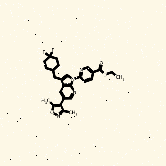 CCOC(=O)c1ccc(-n2cc(CC3CCC(F)(F)CC3)c3cc(-c4c(C)noc4C)cnc32)nc1